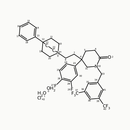 O.O.O=C1CCC(CC[N+]23CCC(c4ccccc4)(CC2)CC3)(c2ccc(F)c(F)c2)CN1Cc1cc(C(F)(F)F)cc(C(F)(F)F)c1.[Cl-]